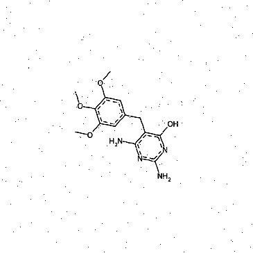 COc1cc(Cc2c(N)nc(N)nc2O)cc(OC)c1OC